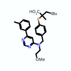 COCCN(Cc1ccc(SC(C)(CC(C)(C)C)C(=O)O)cc1)c1cc(-c2cccc(C)c2)ncn1